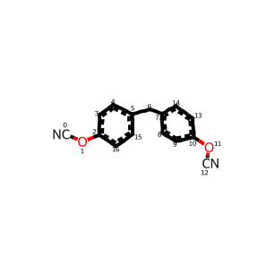 N#COc1ccc(Cc2ccc(OC#N)cc2)cc1